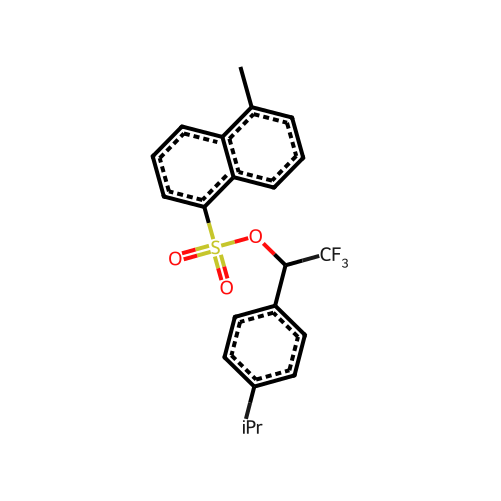 Cc1cccc2c(S(=O)(=O)OC(c3ccc(C(C)C)cc3)C(F)(F)F)cccc12